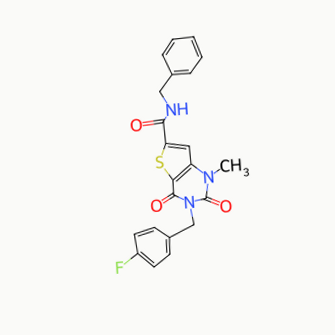 Cn1c(=O)n(Cc2ccc(F)cc2)c(=O)c2sc(C(=O)NCc3ccccc3)cc21